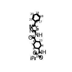 CC(C)S(=O)(=O)NC1CCC(C(=O)Nc2nnc(-c3ccccc3)s2)CC1